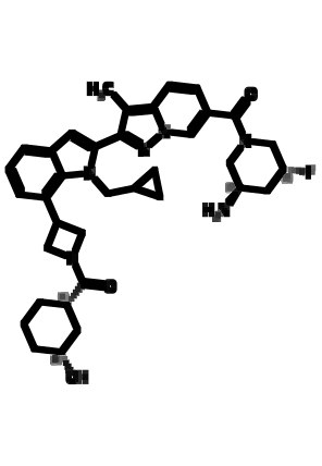 Cc1c(-c2cc3cccc(C4CN(C(=O)[C@H]5CCC[C@@H](O)C5)C4)c3n2CC2CC2)nn2cc(C(=O)N3C[C@H](N)C[C@@H](F)C3)ccc12